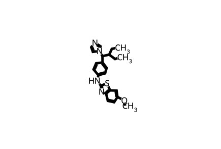 CCC(CC)C(c1ccc(Nc2nc3ccc(OC)cc3s2)cc1)n1ccnc1